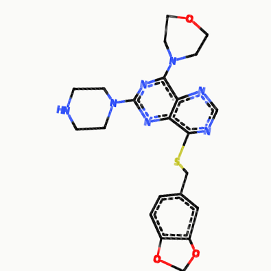 c1nc(SCc2ccc3c(c2)OCO3)c2nc(N3CCNCC3)nc(N3CCOCC3)c2n1